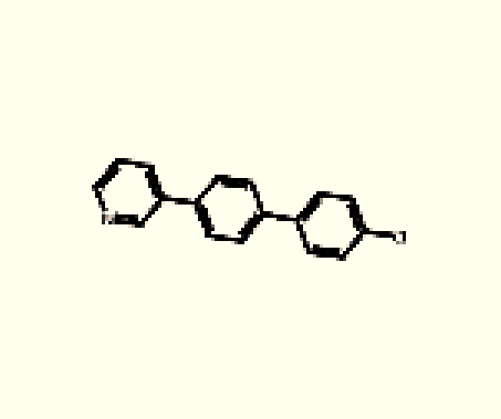 Clc1ccc(-c2ccc(-c3cccnc3)cc2)cc1